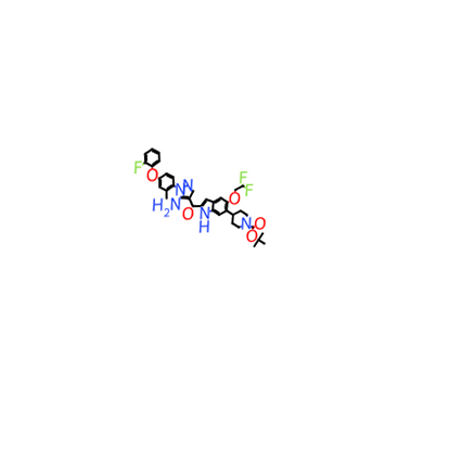 Cc1cc(Oc2ccccc2F)ccc1-n1ncc(C(=O)c2cc3cc(OCC(F)F)c(C4CCN(C(=O)OC(C)(C)C)CC4)cc3[nH]2)c1N